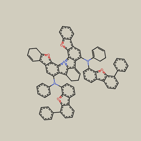 C1=CCCC(N(c2cccc3c2oc2c(-c4ccccc4)cccc23)c2cc3c4ccccc4oc3c3c2c2c4c(c5c(N(c6ccccc6)c6cccc7c6oc6c(-c8ccccc8)cccc67)cc6c7c(oc6c5n43)CCC=C7)CCC=2)=C1